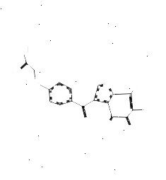 O=C(O)COc1ccc(C(=O)c2coc3c2C(=O)C(=O)C(Br)=C3Br)cc1